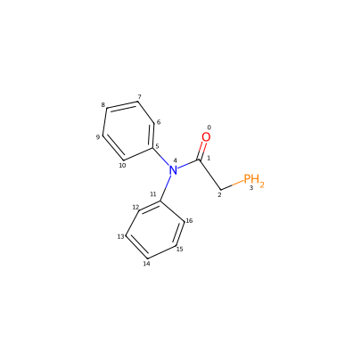 O=C(CP)N(c1ccccc1)c1ccccc1